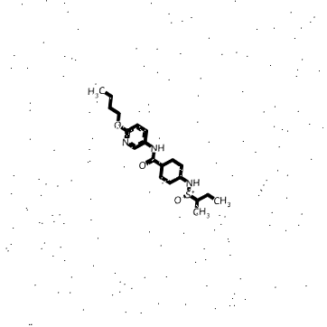 CCCCOc1ccc(NC(=O)C2CCC(N[S+]([O-])C(C)CC)CC2)cn1